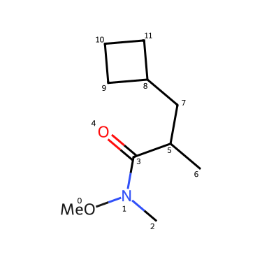 CON(C)C(=O)C(C)CC1CCC1